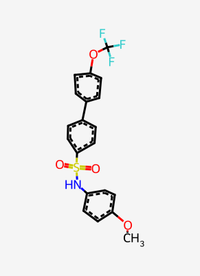 COc1ccc(NS(=O)(=O)c2ccc(-c3ccc(OC(F)(F)F)cc3)cc2)cc1